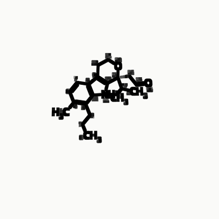 CCCc1c(C)ccc2c3c([nH]c12)[C@](CC=O)(C(C)C)OCC3